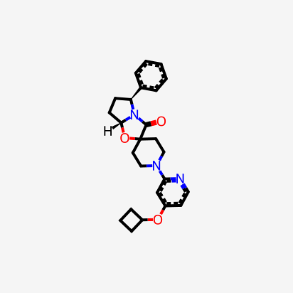 O=C1N2[C@@H](CC[C@H]2c2ccccc2)OC12CCN(c1cc(OC3CCC3)ccn1)CC2